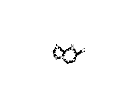 O=c1ccn2n[c]sc2n1